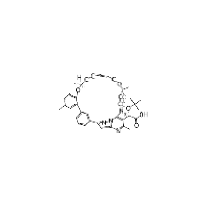 Cc1ccc2c(c1)-c1cccc(c1)-c1cc3nc(C)c([C@H](OC(C)(C)C)C(=O)O)c(n3n1)N1CCC(C)(CC1)OCC=CCC[C@H](C)O2